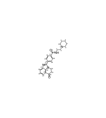 O=C(NCCN1CCCCC1)c1ccc(-c2nc3cccc4c3n2CCC4=O)cc1